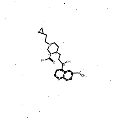 COc1ccc2nccc([C@H](O)CC[C@@H]3CCN(CCC4CC4)C[C@@H]3C(=O)O)c2c1